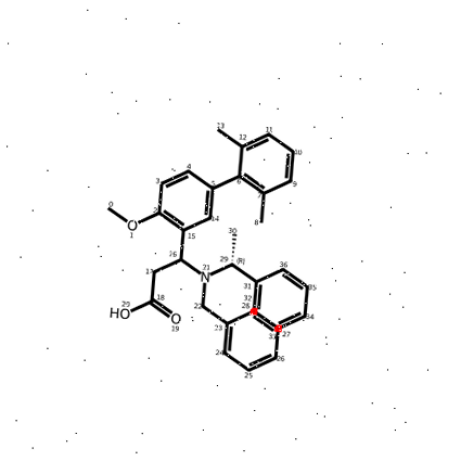 COc1ccc(-c2c(C)cccc2C)cc1C(CC(=O)O)N(Cc1ccccc1)[C@H](C)c1ccccc1